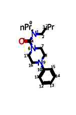 CCCN(CC(C)C)C(=O)N1CCN(c2ccccc2)CC1